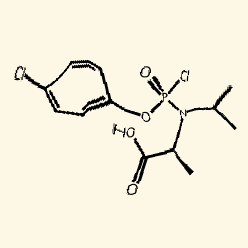 CC(C)N([C@@H](C)C(=O)O)P(=O)(Cl)Oc1ccc(Cl)cc1